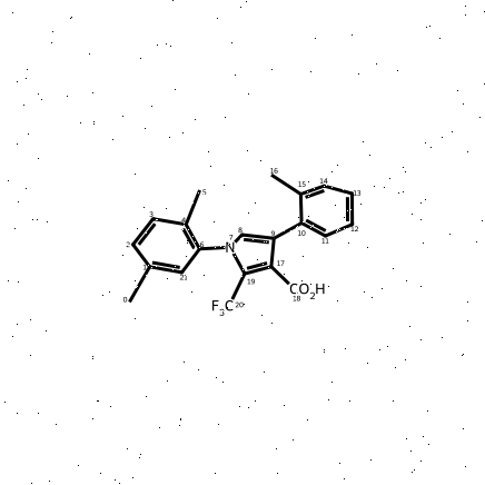 Cc1ccc(C)c(-n2cc(-c3ccccc3C)c(C(=O)O)c2C(F)(F)F)c1